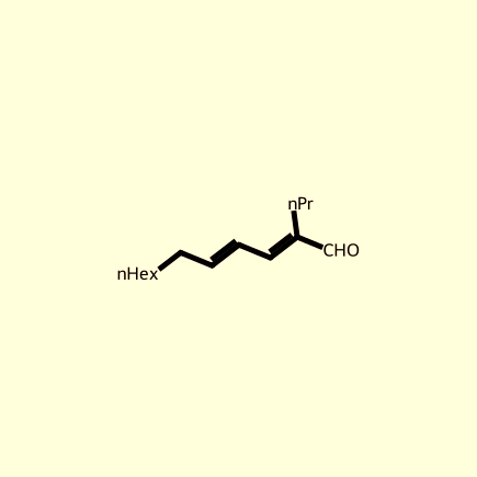 CCCCCCCC=CC=C(C=O)CCC